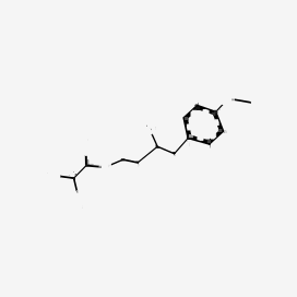 COc1ccc(CC(N)CCOC(F)C(F)F)cc1